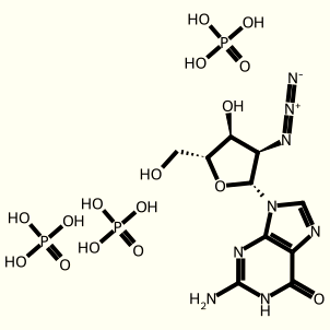 O=P(O)(O)O.O=P(O)(O)O.O=P(O)(O)O.[N-]=[N+]=N[C@@H]1[C@H](O)[C@@H](CO)O[C@H]1n1cnc2c(=O)[nH]c(N)nc21